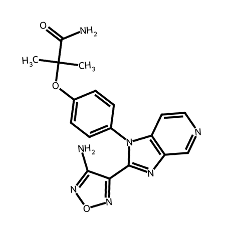 CC(C)(Oc1ccc(-n2c(-c3nonc3N)nc3cnccc32)cc1)C(N)=O